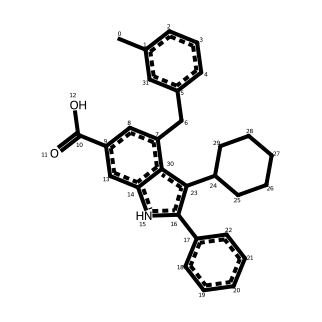 Cc1cccc(Cc2cc(C(=O)O)cc3[nH]c(-c4ccccc4)c(C4CCCCC4)c23)c1